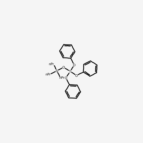 CCC[Si](CCC)(CCC)[O][Ti]([O]c1ccccc1)([O]c1ccccc1)[O]c1ccccc1